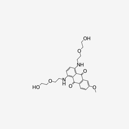 COc1ccc2c(c1)C(=O)c1c(NCCOCCO)ccc(NCCOCCO)c1C2=O